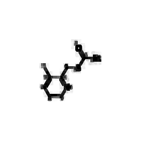 CCC(=O)SCc1ncccc1C